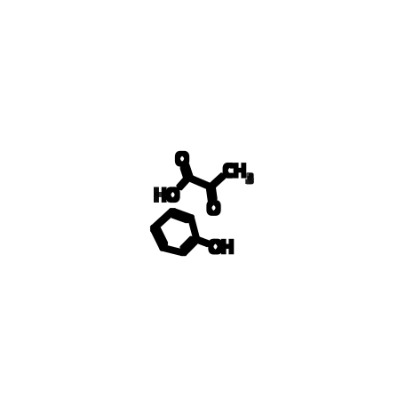 CC(=O)C(=O)O.Oc1ccccc1